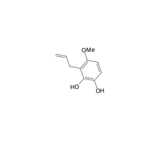 C=CCc1c(OC)ccc(O)c1O